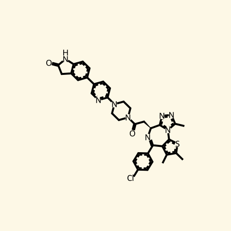 Cc1sc2c(c1C)C(c1ccc(Cl)cc1)=N[C@@H](CC(=O)N1CCN(c3ccc(-c4ccc5c(c4)CC(=O)N5)cn3)CC1)c1nnc(C)n1-2